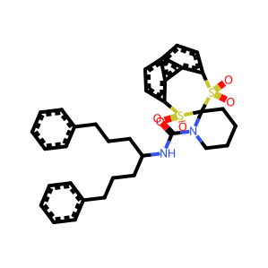 O=C(NC(CCCc1ccccc1)CCCc1ccccc1)N1CCCCC12S(=O)(=O)c1cccc3c(cccc13)S2(=O)=O